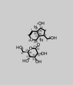 OCC1C[C@@H](O)[C@@H]2C=CO[C@@H](O[C@@H]3O[C@H](CO)[C@@H](O)[C@H](O)[C@H]3O)[C@H]12